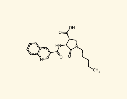 CCCCCN1C[C@H](C(=O)O)[C@H](NC(=O)c2cnc3ccccc3c2)C1=O